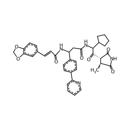 C[C@@H]1C(=O)NC(=O)[C@H]1C(=O)C(NC(=O)CC(NC(=O)/C=C/c1ccc2c(c1)OCO2)c1ccc(-c2ccccn2)cc1)C1CCCC1